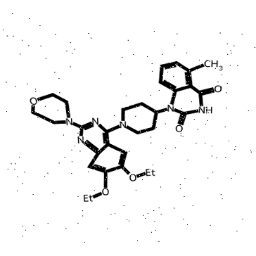 CCOc1cc2nc(N3CCOCC3)nc(N3CCC(n4c(=O)[nH]c(=O)c5c(C)cccc54)CC3)c2cc1OCC